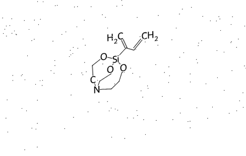 C=CC(=C)[Si]12OCCN(CCO1)CCO2